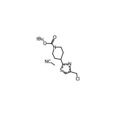 CC#N.CC(C)(C)OC(=O)N1CCC(c2nc(CCl)cs2)CC1